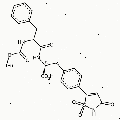 CC(C)(C)OC(=O)NC(Cc1ccccc1)C(=O)N[C@@H](Cc1ccc(C2=CC(=O)NS2(=O)=O)cc1)C(=O)O